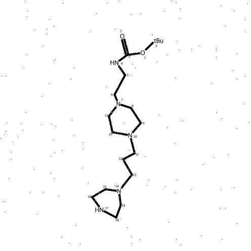 CC(C)(C)OC(=O)NCCN1CCN(CCCN2CCNCC2)CC1